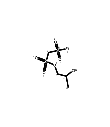 CCS(=O)(=O)CS(=O)(=O)OCC(C)Cl